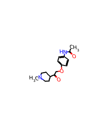 CC(=O)Nc1ccc(OCC(=O)C2CCN(C)CC2)cc1